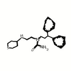 NC(=O)N(CCNC1CCSCC1)CCC(c1ccccc1)c1ccccc1